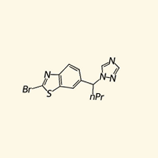 CCCC(c1ccc2nc(Br)sc2c1)n1cncn1